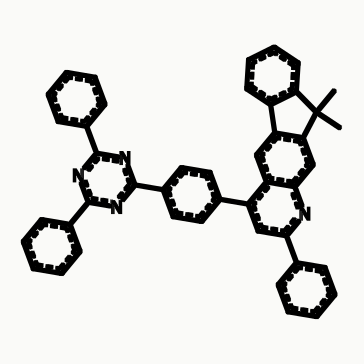 CC1(C)c2ccccc2-c2cc3c(-c4ccc(-c5nc(-c6ccccc6)nc(-c6ccccc6)n5)cc4)cc(-c4ccccc4)nc3cc21